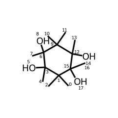 CC1(C)C(C)(O)C(C)(O)C(C)(C)C(C)(O)C1(C)O